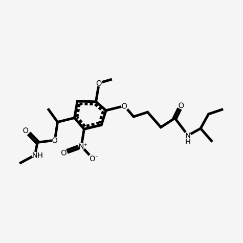 CCC(C)NC(=O)CCCOc1cc([N+](=O)[O-])c(C(C)OC(=O)NC)cc1OC